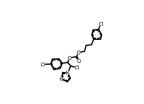 O=C(OCCCc1ccc(Cl)cc1)OC(c1ccc(Cl)cc1)C(Cl)n1ccnc1